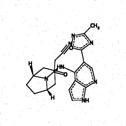 Cc1noc(-c2cnc3[nH]ccc3c2N[C@@H]2C[C@H]3CC[C@@H](C2)N3C(=O)CC#N)n1